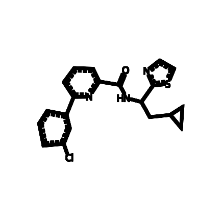 O=C(NC(CC1CC1)c1nccs1)c1cccc(-c2cccc(Cl)c2)n1